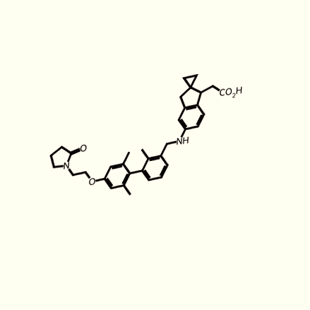 Cc1cc(OCCN2CCCC2=O)cc(C)c1-c1cccc(CNc2ccc3c(c2)CC2(CC2)C3CC(=O)O)c1C